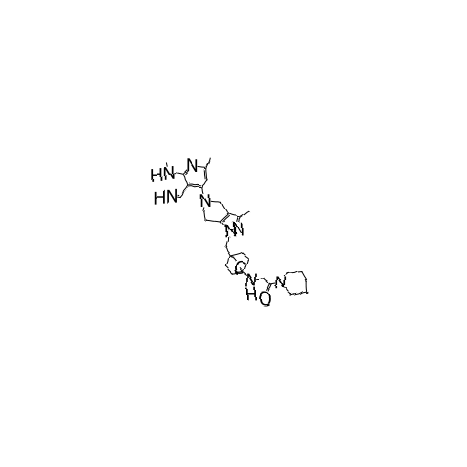 CNc1nc(C)cc(N2CCc3c(c(C)nn3CC34CCC(NCC(=O)N5CCCCC5)(CC3)CC4)C2)c1C=N